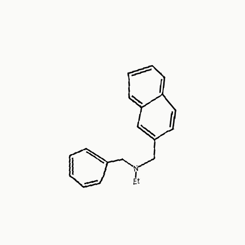 CCN(Cc1ccccc1)Cc1ccc2ccccc2c1